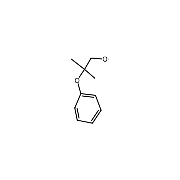 CC(C)(C[O])Oc1ccccc1